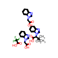 CC(C)(C)C(C(=O)O)n1cnc2ccccc21.O=C(O)C(F)(F)F.O=C(O)Cn1cnc2ccccc21.O=C(O)Cn1cnc2ccccc21